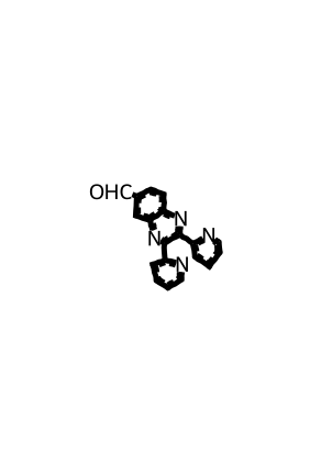 O=Cc1ccc2nc(-c3ccccn3)c(-c3ccccn3)nc2c1